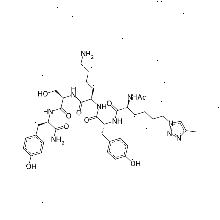 CC(=O)N[C@@H](CCCCn1cc(C)nn1)C(=O)N[C@H](Cc1ccc(O)cc1)C(=O)N[C@H](CCCCN)C(=O)N[C@H](CO)C(=O)N[C@H](Cc1ccc(O)cc1)C(N)=O